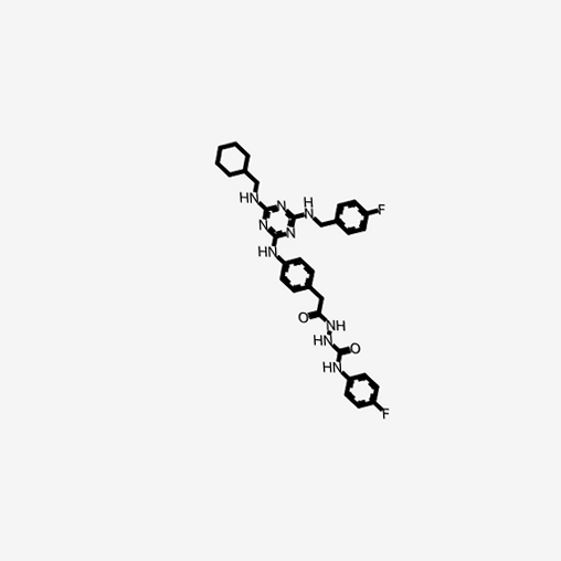 O=C(Cc1ccc(Nc2nc(NCc3ccc(F)cc3)nc(NCC3CCCCC3)n2)cc1)NNC(=O)Nc1ccc(F)cc1